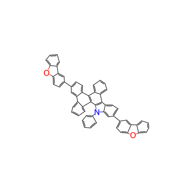 c1ccc(-n2c3cc(-c4ccc5oc6ccccc6c5c4)ccc3c3c4ccccc4c4c5ccc(-c6ccc7oc8ccccc8c7c6)cc5c5ccccc5c4c32)cc1